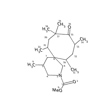 COC(=O)N1CC(C)CC2(C1)C(C)CC(C)C(=O)C(C)(C)CC2C